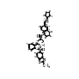 Cc1nc2cc(S(=O)(=O)N[C@H](CC(=O)N[C@@H]3CCCc4cc(CNC5CCCC5)ccc43)c3ccccc3)ccc2s1